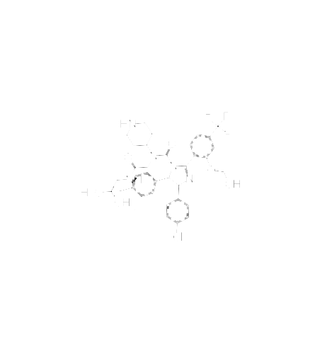 CCOc1cc(C(F)(F)F)ccc1C1=NC(c2ccc(Cl)cc2)C(c2ccc(Cl)cc2)N1C(=O)N(CC(=O)NCC(C)C)C1CCNCC1